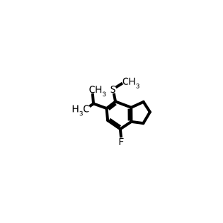 CSc1c(C(C)C)cc(F)c2c1CCC2